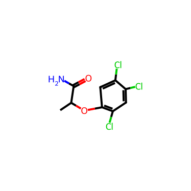 CC(Oc1cc(Cl)c(Cl)cc1Cl)C(N)=O